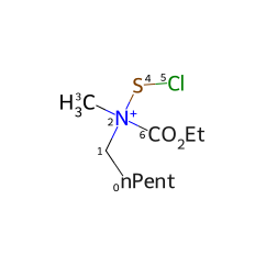 CCCCCC[N+](C)(SCl)C(=O)OCC